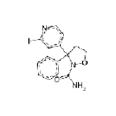 NC(=O)N1OCCC1(c1ccccc1)c1ccnc(I)c1